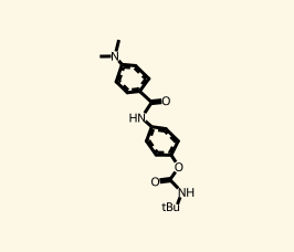 CN(C)c1ccc(C(=O)Nc2ccc(OC(=O)NC(C)(C)C)cc2)cc1